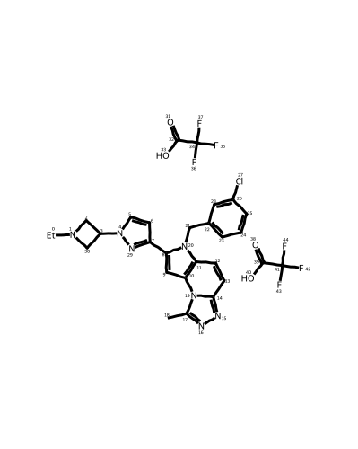 CCN1CC(n2ccc(-c3cc4c(ccc5nnc(C)n54)n3Cc3cccc(Cl)c3)n2)C1.O=C(O)C(F)(F)F.O=C(O)C(F)(F)F